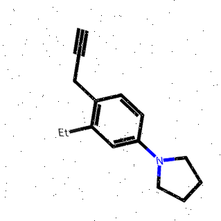 C#CCc1ccc(N2CCCC2)cc1CC